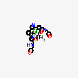 COc1cc(-c2nccc(-c3cccc(-c4ccc(CNCC5CCOCC5)c(OC)n4)c3Cl)c2Cl)ccc1CNCC1CCOCC1